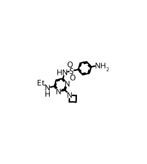 CCNc1cc(NS(=O)(=O)c2ccc(N)cc2)nc(N2CCC2)n1